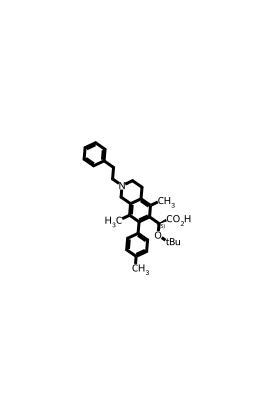 Cc1ccc(-c2c(C)c3c(c(C)c2[C@H](OC(C)(C)C)C(=O)O)CCN(CCc2ccccc2)C3)cc1